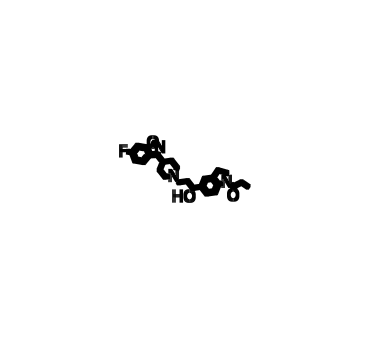 CCC(=O)N1CCc2cc(C(O)CCN3CCC(c4noc5cc(F)ccc45)CC3)ccc21